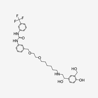 O=C(Nc1cccc(COCCOCCCCCCNC[C@@H](O)c2ccc(O)c(CO)c2)c1)Nc1cccc(C(F)(F)F)c1